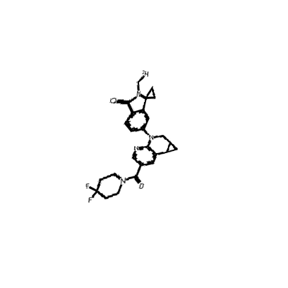 [2H]CN1C(=O)c2ccc(N3CC4CC4c4cc(C(=O)N5CCC(F)(F)CC5)cnc43)cc2C12CC2